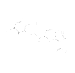 O=C(O)c1cnn2ccc(NCCc3c(O)ccc(F)c3F)nc12